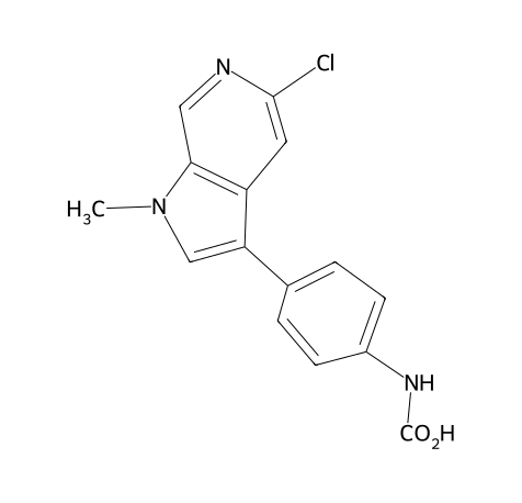 Cn1cc(-c2ccc(NC(=O)O)cc2)c2cc(Cl)ncc21